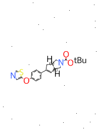 CC(C)(C)OC(=O)N1C[C@H]2CC(c3ccc(Oc4cncs4)cc3)=C[C@H]2C1